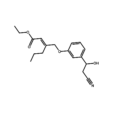 CCC/C(=C\C(=O)OCC)COc1cccc(C(O)CC#N)c1